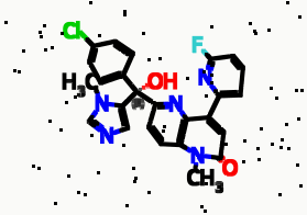 Cn1cncc1[C@@](O)(c1ccc(Cl)cc1)c1ccc2c(n1)c(-c1cccc(F)n1)cc(=O)n2C